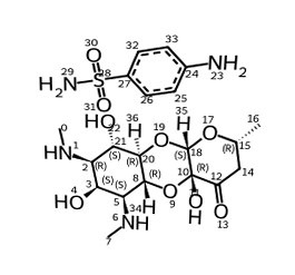 CN[C@@H]1[C@H](O)[C@H](NC)[C@H]2O[C@@]3(O)C(=O)C[C@@H](C)O[C@H]3O[C@@H]2[C@H]1O.Nc1ccc(S(N)(=O)=O)cc1